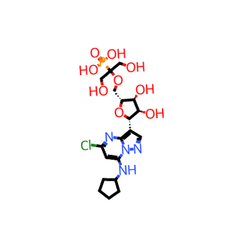 O=P(O)(O)C(CO)(CO)OC[C@H]1O[C@@H](c2cnn3c(NC4CCCC4)cc(Cl)nc23)[C@H](O)[C@@H]1O